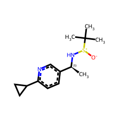 C[C@H](N[S+]([O-])C(C)(C)C)c1ccc(C2CC2)nc1